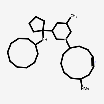 CNC1C/C=C\CCC(N2CC(C)CC(C3(NC4CCCCCCCCC4)CCCC3)C2)CCCC1